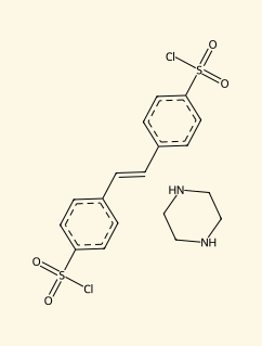 C1CNCCN1.O=S(=O)(Cl)c1ccc(C=Cc2ccc(S(=O)(=O)Cl)cc2)cc1